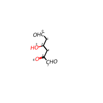 O=CCC(O)CC(=O)C=O